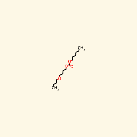 CCCCCCOC(=O)OCCCCOCCCC